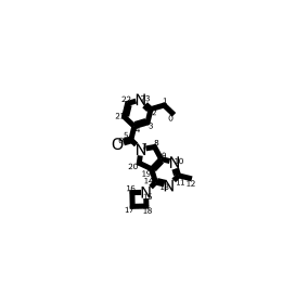 CCc1cc(C(=O)N2Cc3nc(C)nc(N4CCC4)c3C2)ccn1